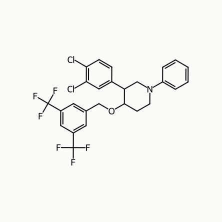 FC(F)(F)c1cc(COC2CCN(c3ccccc3)CC2c2ccc(Cl)c(Cl)c2)cc(C(F)(F)F)c1